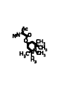 CC(=O)C(=[N+]=[N-])C(=O)OC1CC(C)(C)N(C)C(C)(C)C1